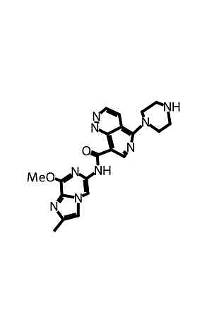 COc1nc(NC(=O)c2cnc(N3CCNCC3)c3ccnnc23)cn2cc(C)nc12